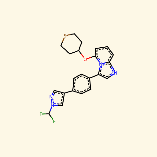 FC(F)n1cc(-c2ccc(-c3cnc4cccc(OC5CCSCC5)n34)cc2)cn1